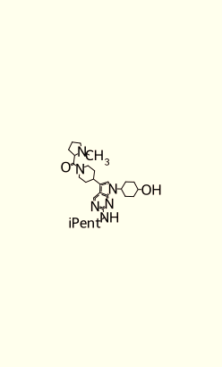 CCC[C@H](C)Nc1ncc2c(C3CCN(C(=O)C4CCCN4C)CC3)cn(C3CCC(O)CC3)c2n1